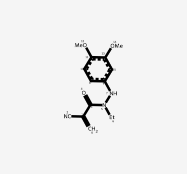 C=C(C#N)C(=O)N(CC)Nc1ccc(OC)c(OC)c1